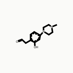 CN1CCN(c2ccc(CC=O)c(O)c2)CC1